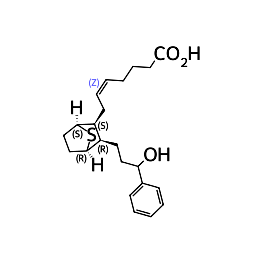 O=C(O)CCC/C=C\C[C@H]1[C@@H](CCC(O)c2ccccc2)[C@H]2CC[C@@H]1S2